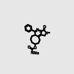 CNC(=O)OC1CCCC2C(c3ccccc3)=NN3C(=O)N(C)CC3=C2CC1